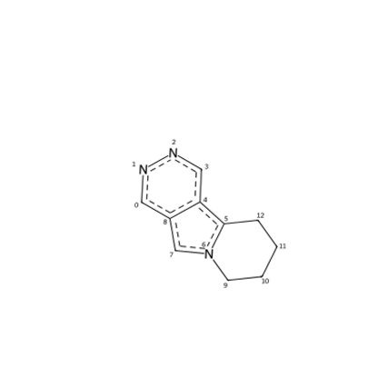 c1nncc2c3n(cc12)CCCC3